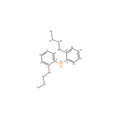 CCCCc1ccccc1Pc1ccccc1CCCC